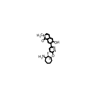 Cn1ccc2cc(O)c(-c3ccc(O[C@@H]4CCCCC(N)[C@@H]4F)nn3)cc2c1=O